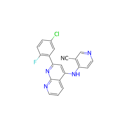 N#Cc1cnccc1Nc1cc(-c2cc(Cl)ccc2F)nc2ncccc12